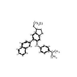 CCOC(=O)CC1CCc2cc(Oc3ccc(N(C)C)cc3)c(-c3ccc4ccccc4c3)cc21